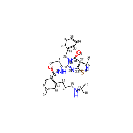 CCC(NC(=O)c1ccc(C)cc1CCCNC(C)C)c1nc2snc(C)c2c(=O)n1Cc1ccccc1